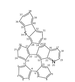 c1ccc2c(c1)-c1ccccc1-c1c(ccc3cccnc13)-c1c-2cccc1-c1cccc2c1sc1ccccc12